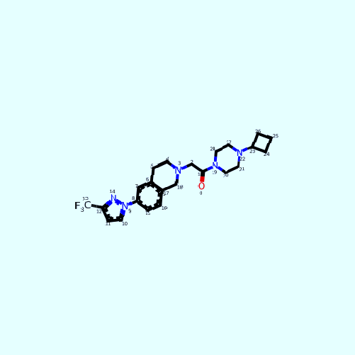 O=C(CN1CCc2cc(-n3ccc(C(F)(F)F)n3)ccc2C1)N1CCN(C2CCC2)CC1